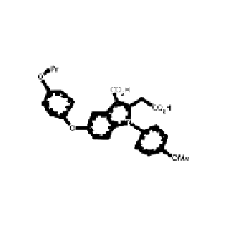 COc1ccc(-n2c(CC(=O)O)c(C(=O)O)c3cc(Oc4ccc(OC(C)C)cc4)ccc32)cc1